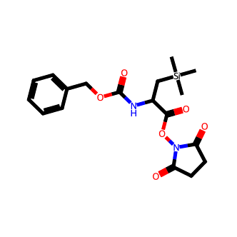 C[Si](C)(C)CC(NC(=O)OCc1ccccc1)C(=O)ON1C(=O)CCC1=O